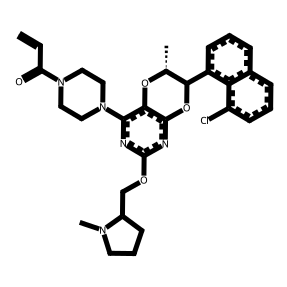 C=CC(=O)N1CCN(c2nc(OCC3CCCN3C)nc3c2O[C@H](C)C(c2cccc4cccc(Cl)c24)O3)CC1